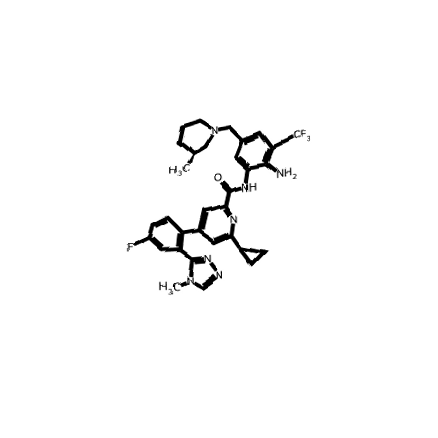 C[C@H]1CCCN(Cc2cc(NC(=O)c3cc(-c4ccc(F)cc4-c4nncn4C)cc(C4CC4)n3)c(N)c(C(F)(F)F)c2)C1